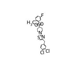 Cc1ccc(F)cc1S(=O)(=O)C1CCN(c2nc(Cc3ccc(Cl)c(Cl)c3)cs2)CC1